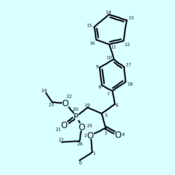 CCOC(=O)C(Cc1ccc(-c2ccccc2)cc1)CP(=O)(OCC)OCC